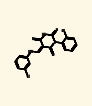 O=C1NC(=S)N(c2ccccc2Cl)C(=O)C1=CNc1cccc(Cl)c1